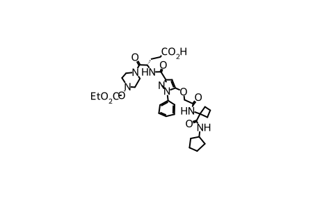 CCOC(=O)ON1CCN(C(=O)[C@H](CCC(=O)O)NC(=O)c2cc(OCC(=O)NC3(C(=O)NC4CCCC4)CCC3)n(-c3ccccc3)n2)CC1